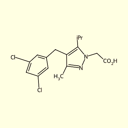 Cc1nn(CC(=O)O)c(C(C)C)c1Cc1cc(Cl)cc(Cl)c1